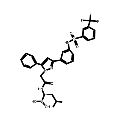 CC(C)C[C@H](NC(=O)Cn1nc(-c2cccc(NS(=O)(=O)c3cccc(C(F)(F)F)c3)c2)cc1-c1ccccc1)B(O)O